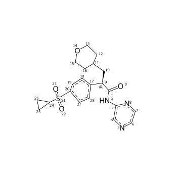 O=C(Nc1cnccn1)[C@H](CC1CCOCC1)c1ccc(S(=O)(=O)C2CC2)cc1